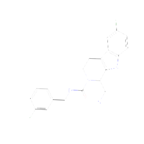 NCC1c2[nH]c3ccc(Cl)cc3c2CCN1C(=O)NCc1cccc(Cl)c1